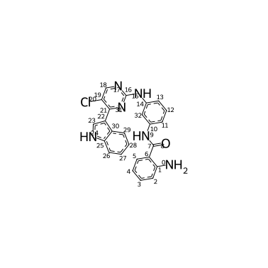 Nc1ccccc1C(=O)Nc1cccc(Nc2ncc(Cl)c(-c3c[nH]c4ccccc34)n2)c1